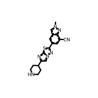 Cn1cc2cc(-c3nn4cc(C5CCNCC5)nc4s3)cc(C#N)c2n1